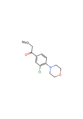 COCC(=O)c1ccc(N2CCOCC2)c(Cl)c1